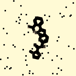 Cn1ccnc1C(=O)Nc1ccc2cc(-c3ccccc3C(F)F)[nH]c2n1